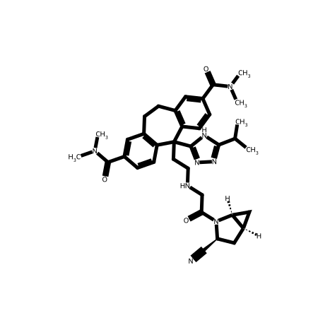 CC(C)c1nnc(C2(CCNCC(=O)N3[C@H](C#N)C[C@@H]4C[C@@H]43)c3ccc(C(=O)N(C)C)cc3CCc3cc(C(=O)N(C)C)ccc32)[nH]1